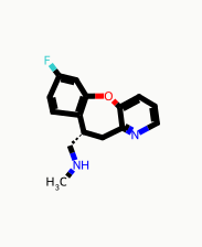 CNC[C@H]1Cc2ncccc2Oc2cc(F)ccc21